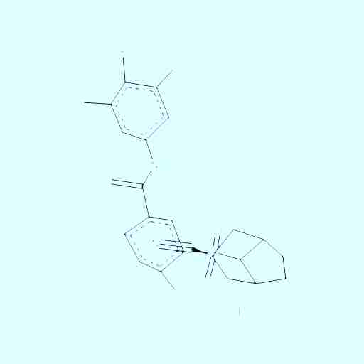 N#C[C@H]1CC2CC[C@@H](C1)C2S(=O)(=O)c1cc(C(=O)Nc2cc(F)c(F)c(F)c2)ccc1Cl